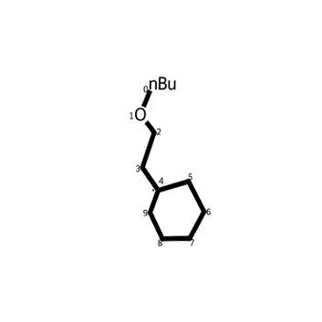 CCCCOCC[C]1CCCCC1